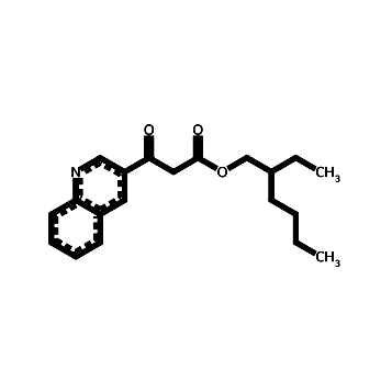 CCCCC(CC)COC(=O)CC(=O)c1cnc2ccccc2c1